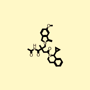 C=C1c2cc(OC)ccc2CN1CC(C)(CC(=O)N1CCc2ccccc2C1C1CC1)C(=O)NC(C)=O